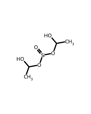 CC(O)O[Si](=O)OC(C)O